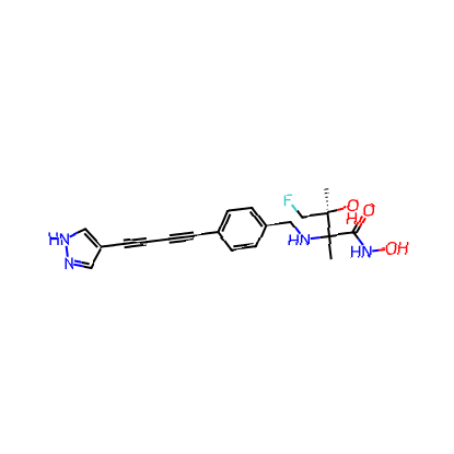 CC(NCc1ccc(C#CC#Cc2cn[nH]c2)cc1)(C(=O)NO)[C@](C)(O)CF